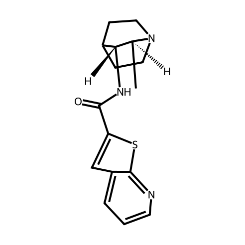 C[C@H]1[C@H](NC(=O)c2cc3cccnc3s2)C2CCN1CC2